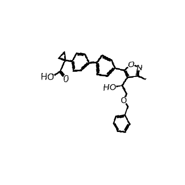 Cc1noc(-c2ccc(-c3ccc(C4(C(=O)O)CC4)cc3)cc2)c1[C@H](O)COCc1ccccc1